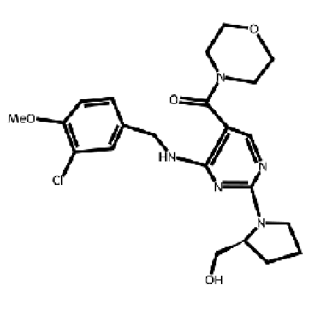 COc1ccc(CNc2nc(N3CCC[C@H]3CO)ncc2C(=O)N2CCOCC2)cc1Cl